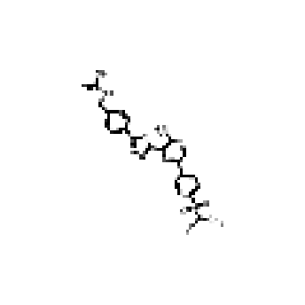 CC(C)S(=O)(=O)c1ccc(-c2cnc(N)c(-c3nnc(-c4ccc(CNC(=O)O)cc4)o3)n2)cc1